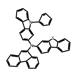 c1ccc(-n2c3ccccc3c3ccc(N(c4ccc5c(c4)sc4ccccc45)c4cc5ccccc5c5ccccc45)cc32)cc1